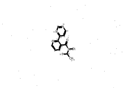 CCN(C(=O)c1cccnc1-c1ccncn1)C(C)F